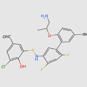 CC(CN)Oc1ccc(C(C)(C)C)cc1-c1cc(NSc2cc(C=O)cc(Cl)c2O)c(F)cc1F